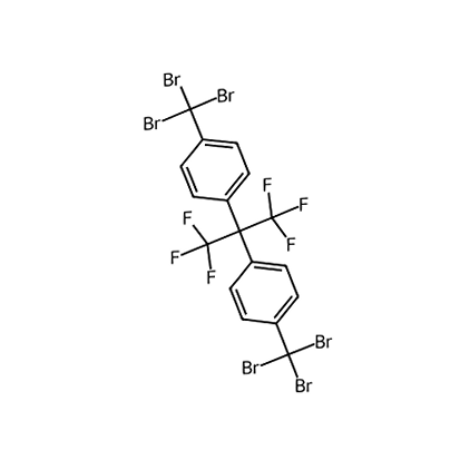 FC(F)(F)C(c1ccc(C(Br)(Br)Br)cc1)(c1ccc(C(Br)(Br)Br)cc1)C(F)(F)F